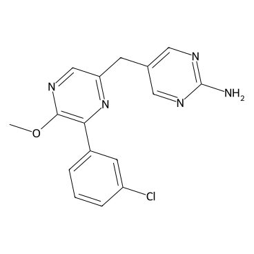 COc1ncc(Cc2cnc(N)nc2)nc1-c1cccc(Cl)c1